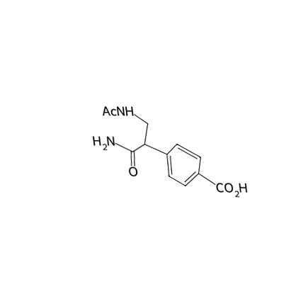 CC(=O)NCC(C(N)=O)c1ccc(C(=O)O)cc1